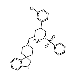 CN(CC(CCCN1CCC2(CC1)CSc1ccccc12)c1cccc(Cl)c1)S(=O)(=O)c1ccccc1